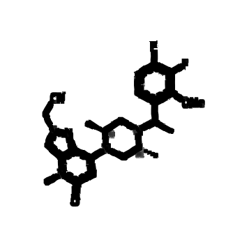 COc1c(C(C)N2C[C@H](C)N(c3cc(=O)n(C)c4cn(CC#N)nc34)C[C@H]2C)ccc(F)c1F